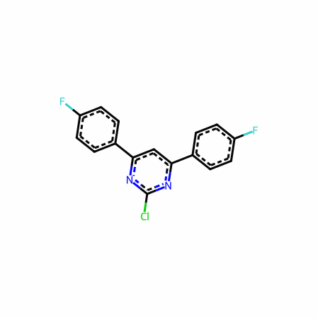 Fc1ccc(-c2cc(-c3ccc(F)cc3)nc(Cl)n2)cc1